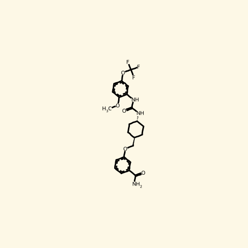 COc1ccc(OC(F)(F)F)cc1NC(=O)N[C@H]1CC[C@H](COc2cccc(C(N)=O)c2)CC1